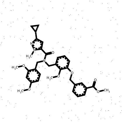 COC(=O)c1cccc(COc2cccc(CN(Cc3ccc(OC)cc3OC)C(=O)c3cc(C4CC4)nn3C)c2OC)c1